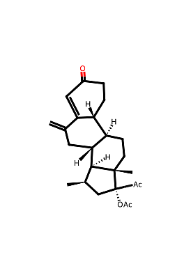 C=C1C[C@@H]2[C@H](CC[C@@]3(C)[C@H]2[C@H](C)C[C@]3(OC(C)=O)C(C)=O)[C@H]2CCC(=O)C=C12